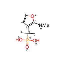 CNc1occc1C(C)(C)P(=O)(O)O